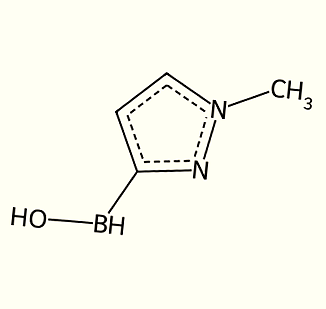 Cn1ccc(BO)n1